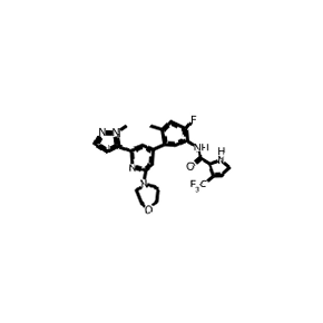 Cc1cc(F)c(NC(=O)C2NCC=C2C(F)(F)F)cc1-c1cc(-c2ccnn2C)nc(N2CCOCC2)c1